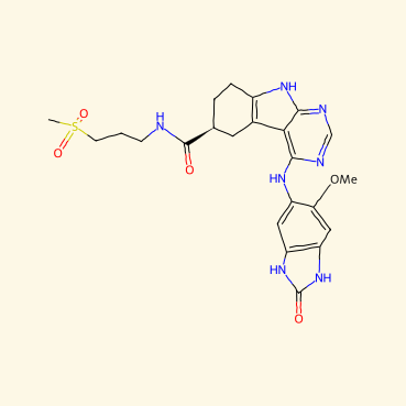 COc1cc2[nH]c(=O)[nH]c2cc1Nc1ncnc2[nH]c3c(c12)C[C@@H](C(=O)NCCCS(C)(=O)=O)CC3